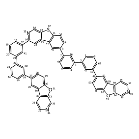 c1cc(-c2cccc(-c3ccc4sc5cnc(-c6cccc(-c7cccc(-c8ccc9oc%10cnccc%10c9c8)c7)c6)cc5c4c3)c2)cc(-c2ccc3oc4cnccc4c3c2)c1